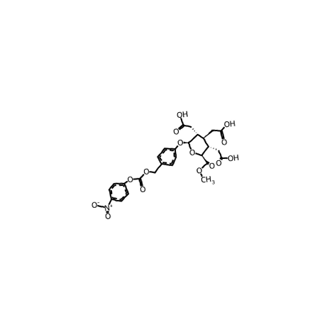 COC(=O)[C@H]1O[C@@H](Oc2ccc(COC(=O)Oc3ccc([N+](=O)[O-])cc3)cc2)[C@H](CC(=O)O)[C@@H](CC(=O)O)[C@@H]1CC(=O)O